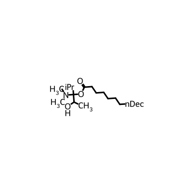 CCCCCCCCCCCCCCCCC(=O)OC(C(C)C)(C(C)O)N(C)C